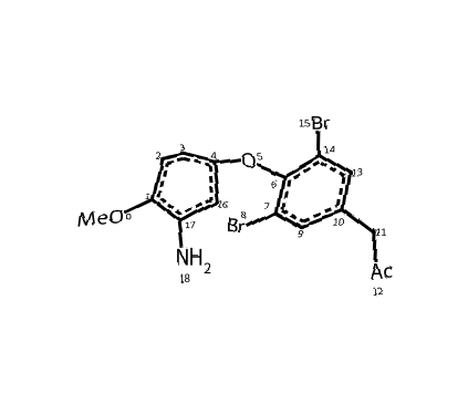 COc1ccc(Oc2c(Br)cc(CC(C)=O)cc2Br)cc1N